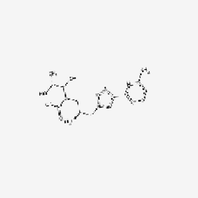 C[C@@H](CC(C(O)[C@@H](C)O)[N+](=O)[O-])Cn1cc(-c2cccc(N)n2)nn1